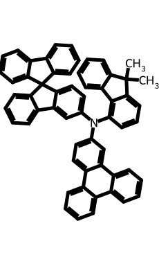 CC1(C)c2ccccc2-c2c(N(c3ccc4c(c3)-c3ccccc3C43c4ccccc4-c4ccccc43)c3ccc4c5ccccc5c5ccccc5c4c3)cccc21